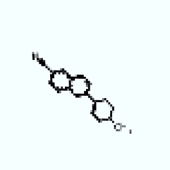 CC1CC=C(c2ccc3cc(C#N)ccc3c2)CC1